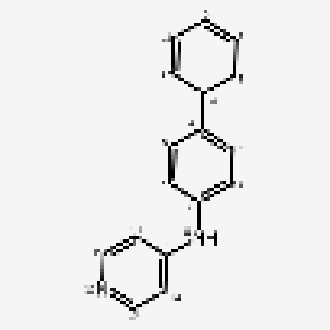 C1=CCC(c2ccc(Nc3ccncc3)cc2)C=C1